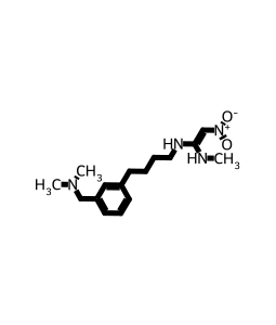 CNC(=C[N+](=O)[O-])NCCCCc1cccc(CN(C)C)c1